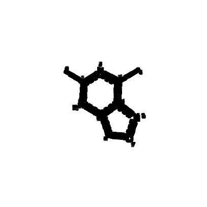 Cc1nc(C)c2nocc2n1